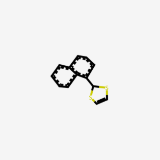 C1=CSC(c2cccc3ccccc23)S1